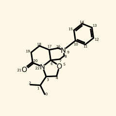 CC(C)C1COC23CCN(c4ccccc4)CC2CCC(=O)N13